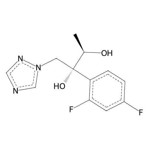 C[C@@H](O)[C@](O)(Cn1cncn1)c1ccc(F)cc1F